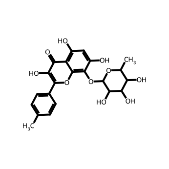 Cc1ccc(-c2oc3c(OC4OC(C)C(O)C(O)C4O)c(O)cc(O)c3c(=O)c2O)cc1